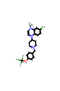 CN1C=CN(C2CCN(Cc3ccc(OC(F)(F)F)cc3)CC2)c2ccc(F)cc21